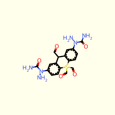 NC(=O)N(N)c1ccc2c(c1)C(C=O)c1cc(N(N)C(N)=O)ccc1S2(C=O)C=O